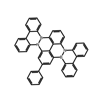 c1ccc(-c2cc3c4c(c2)N2B(c5ccccc5-c5ccccc52)c2cccc(c2-4)N2B3c3ccccc3-c3ccccc32)cc1